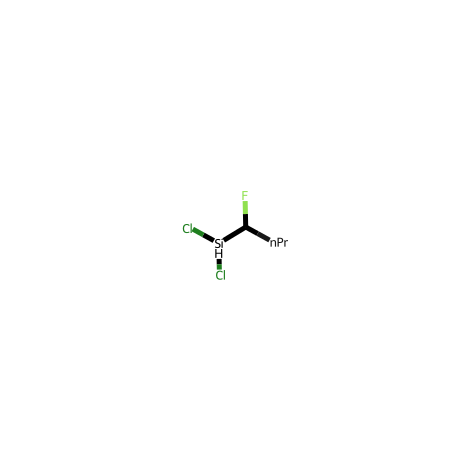 CCCC(F)[SiH](Cl)Cl